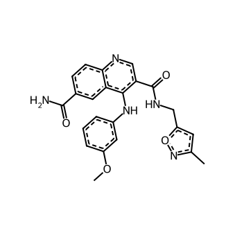 COc1cccc(Nc2c(C(=O)NCc3cc(C)no3)cnc3ccc(C(N)=O)cc23)c1